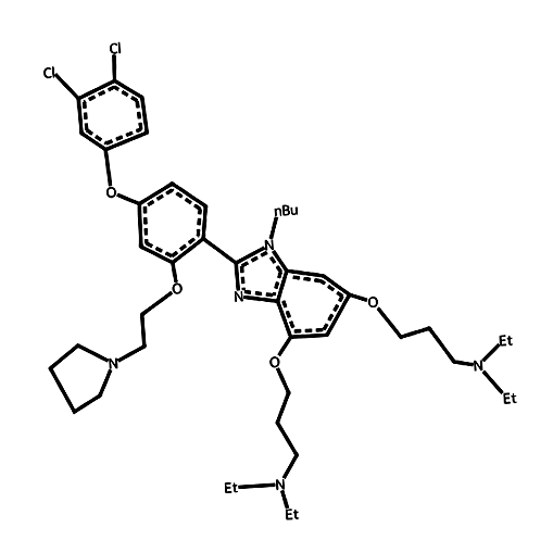 CCCCn1c(-c2ccc(Oc3ccc(Cl)c(Cl)c3)cc2OCCN2CCCC2)nc2c(OCCCN(CC)CC)cc(OCCCN(CC)CC)cc21